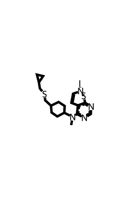 CN(c1ncnc2c1C=CN(I)S2)C1CCC(CSCC2CC2)CC1